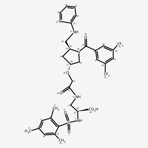 Cc1cc(C)c(S(=O)(=O)N[C@@H](CNC(=O)CO[C@@H]2C[C@@H](CNc3ccccn3)N(C(=O)c3cc(C(F)(F)F)cc(C(F)(F)F)c3)C2)C(=O)O)c(C)c1